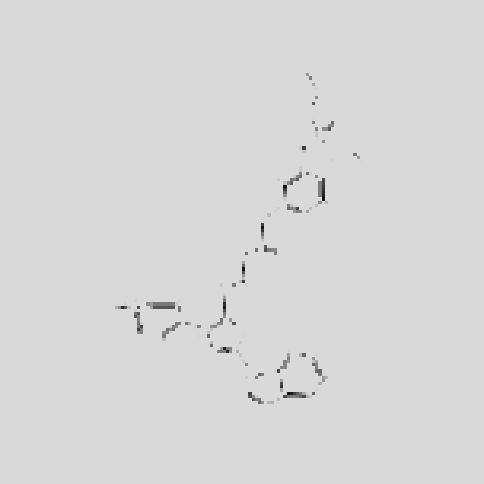 CCOP(=O)(Cc1cccc(NC(=O)CCCc2oc(-n3cnc4ccccc43)nc2-c2ccc(Cl)cc2)c1)OCC